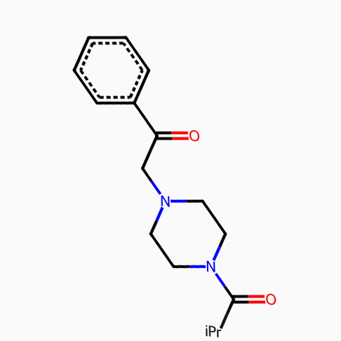 CC(C)C(=O)N1CCN(CC(=O)c2ccccc2)CC1